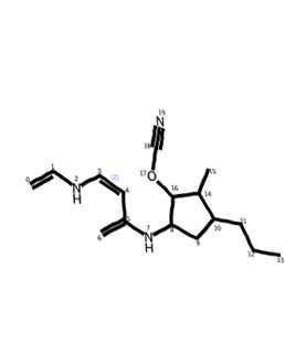 C=CN/C=C\C(=C)NC1CC(CCC)C(C)C1OC#N